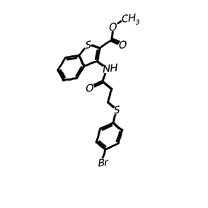 COC(=O)c1sc2ccccc2c1NC(=O)CCSc1ccc(Br)cc1